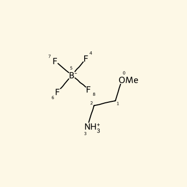 COCC[NH3+].F[B-](F)(F)F